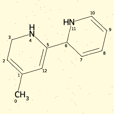 CC1=CCNC(C2C=CC=CN2)=C1